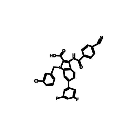 N#Cc1ccc(C(=O)Nc2c(C(=O)O)n(Cc3cccc(Cl)c3)c3cc(-c4cc(F)cc(F)c4)ccc23)cc1